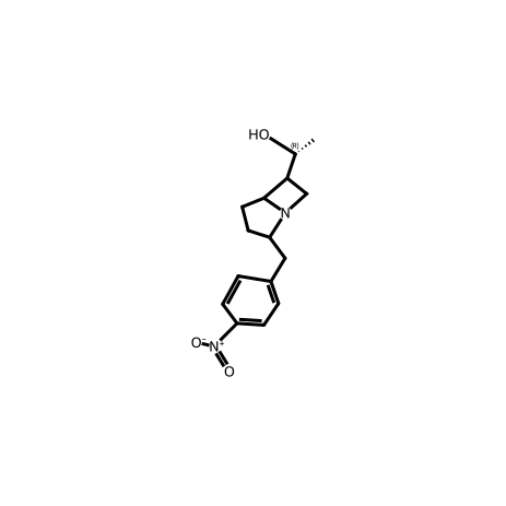 C[C@@H](O)C1CN2C(Cc3ccc([N+](=O)[O-])cc3)CCC12